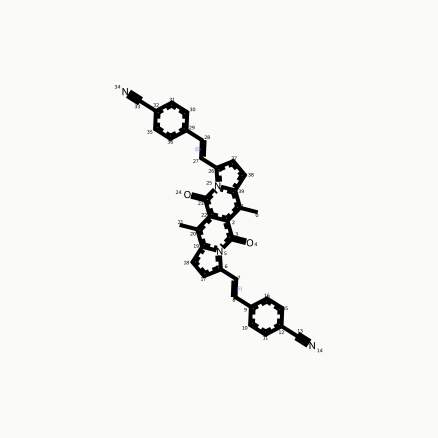 Cc1c2c(=O)n3c(/C=C/c4ccc(C#N)cc4)ccc3c(C)c2c(=O)n2c(/C=C/c3ccc(C#N)cc3)ccc12